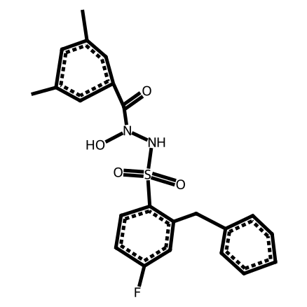 Cc1cc(C)cc(C(=O)N(O)NS(=O)(=O)c2ccc(F)cc2Cc2ccccc2)c1